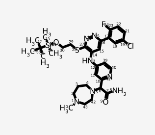 CN1CCCN(C(C(N)=O)c2cc(Nc3cc(-c4cc(Cl)ccc4F)nnc3SCCO[Si](C)(C)C(C)(C)C)ccn2)CC1